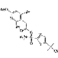 COc1cc(C(C)C)c(CC(=O)N=S(N)(=O)c2ncc(C(C)(C)O)s2)c(C(C)C)n1